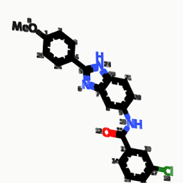 COc1ccc(-c2nc3cc(NC(=O)c4cccc(Cl)c4)ccc3[nH]2)cc1